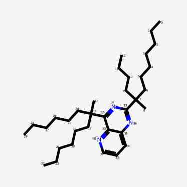 CCCCCCCC(C)(CCCC)c1nc(C(C)(CCCCCC)CCCCCC)c2ncccc2n1